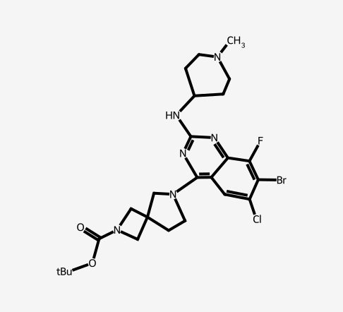 CN1CCC(Nc2nc(N3CCC4(CN(C(=O)OC(C)(C)C)C4)C3)c3cc(Cl)c(Br)c(F)c3n2)CC1